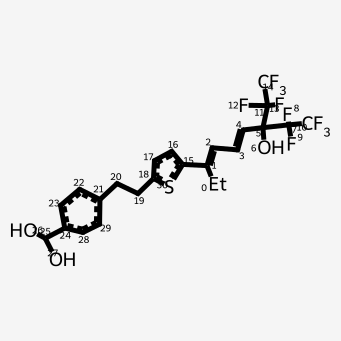 CCC(=CC=CC(O)(C(F)(F)C(F)(F)F)C(F)(F)C(F)(F)F)c1ccc(CCc2ccc(C(O)O)cc2)s1